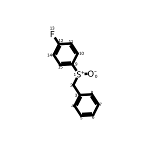 [O-][S+](Cc1ccccc1)c1ccc(F)cc1